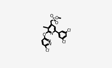 COS(=O)(=O)Cc1cc(-c2cc(Cl)cc(Cl)c2)nc(Oc2ccc(Cl)nn2)c1C